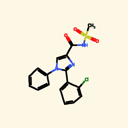 CS(=O)(=O)NC(=O)c1cn(-c2ccccc2)c(-c2ccccc2Cl)n1